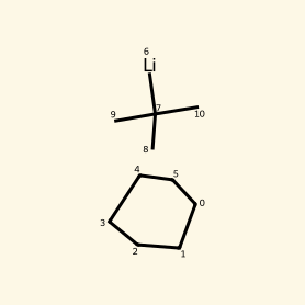 C1CCCCC1.[Li][C](C)(C)C